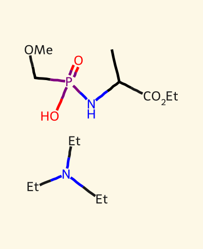 CCN(CC)CC.CCOC(=O)C(C)NP(=O)(O)COC